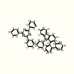 c1ccc(-c2nc(-c3ccccc3)nc(-c3cccc(-c4cccc(-n5c6ccccc6c6ccc7c8nccnc8c8ccccc8c7c65)c4)c3)n2)cc1